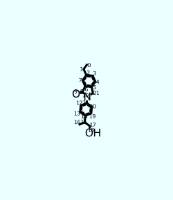 CCc1ccc2c(c1)C(=O)N(c1ccc(C(C)CO)cc1)C2